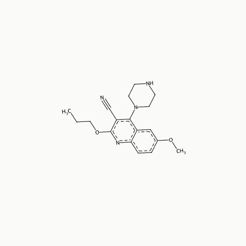 CCCOc1nc2ccc(OC)cc2c(N2CCNCC2)c1C#N